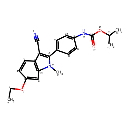 CCOc1ccc2c(C#N)c(-c3ccc(NC(=O)OC(C)C)cc3)n(C)c2c1